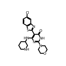 O=c1[nH]c(N2CCOCC2)nc(NC2CCCNC2)c1-c1nc2cc(Cl)ccc2s1